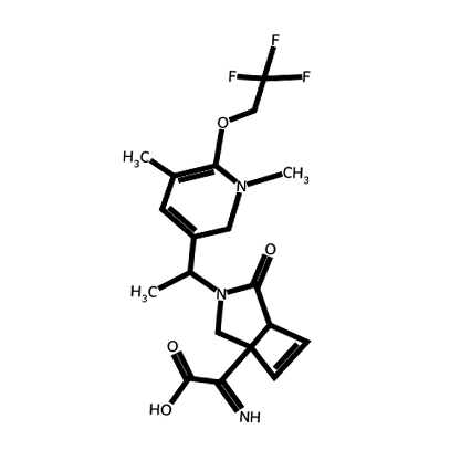 CC1=C(OCC(F)(F)F)N(C)CC(C(C)N2CC3(C(=N)C(=O)O)C=CC3C2=O)=C1